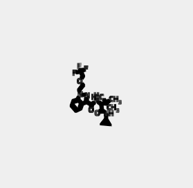 CC(C)(C)C(NC(=O)c1nn(CCOCC(F)(F)F)c2ccccc12)C(=O)NC1CC1